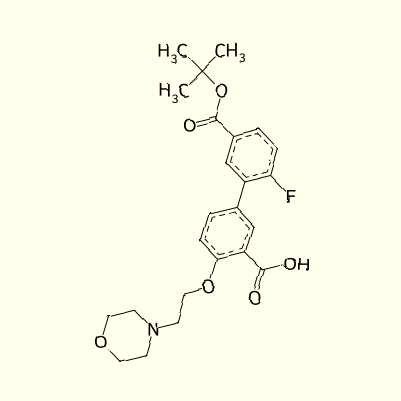 CC(C)(C)OC(=O)c1ccc(F)c(-c2ccc(OCCN3CCOCC3)c(C(=O)O)c2)c1